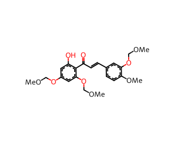 COCOc1cc(O)c(C(=O)/C=C/c2ccc(OC)c(OCOC)c2)c(OCOC)c1